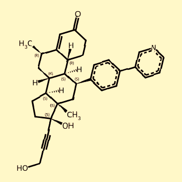 C[C@@H]1C[C@@H]2[C@H]([C@@H](c3ccc(-c4cccnc4)cc3)C[C@@]3(C)[C@H]2CC[C@@]3(O)C#CCO)[C@H]2CCC(=O)C=C12